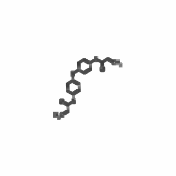 C=CC(=O)Sc1ccc(Sc2ccc(SC(=O)C=C)cc2)cc1